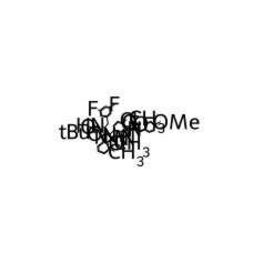 COc1ccc(CN(c2nn(C)c3c(-n4c(C(Cc5cc(F)cc(F)c5)NC(=O)OC(C)(C)C)nc5cccc(C)c5c4=O)ccc(Cl)c23)S(C)(=O)=O)cc1